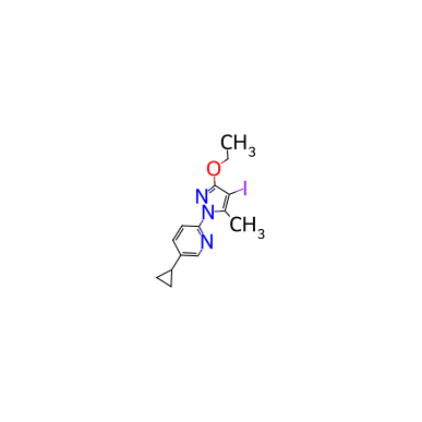 CCOc1nn(-c2ccc(C3CC3)cn2)c(C)c1I